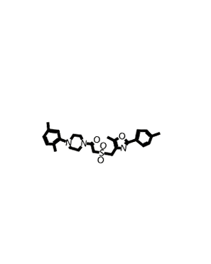 Cc1ccc(-c2nc(CS(=O)(=O)CC(=O)N3CCN(c4cc(C)ccc4C)CC3)c(C)o2)cc1